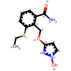 CCSc1cccc(C(N)=O)c1COc1ccn(O)n1